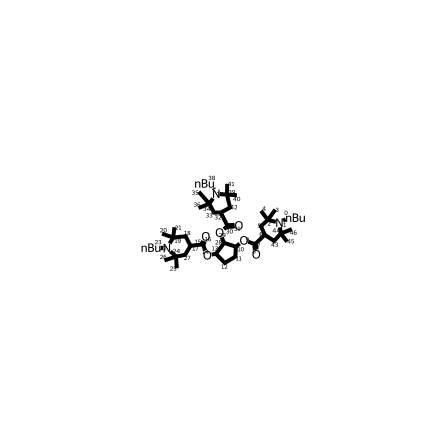 CCCCN1C(C)(C)CC(C(=O)OC2CCC(OC(=O)C3CC(C)(C)N(CCCC)C(C)(C)C3)C2OC(=O)C2CC(C)(C)N(CCCC)C(C)(C)C2)CC1(C)C